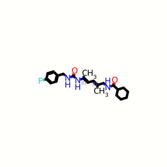 C/C(=C\C=C(/C)NC(=O)NCc1ccc(F)cc1)CNC(=O)C1CCCCC1